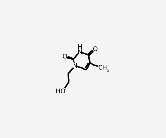 Cc1cn(CCO)c(=O)[nH]c1=O